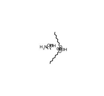 CCCCCCCCOP(=O)(O)OCCCCCCCC.CCO.CCO.N